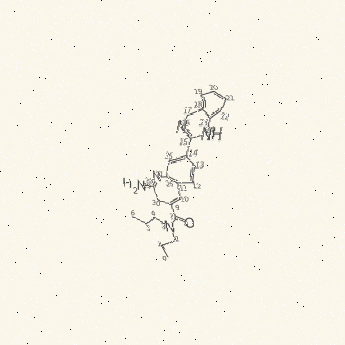 CCCN(CCC)C(=O)C1=Cc2ccc(C3=NCc4ccccc4N3)cc2N=C(N)C1